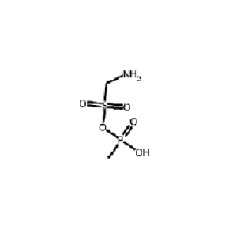 CP(=O)(O)OS(=O)(=O)CN